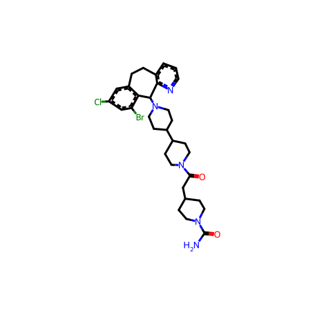 NC(=O)N1CCC(CC(=O)N2CCC(C3CCN(C4c5ncccc5CCc5cc(Cl)cc(Br)c54)CC3)CC2)CC1